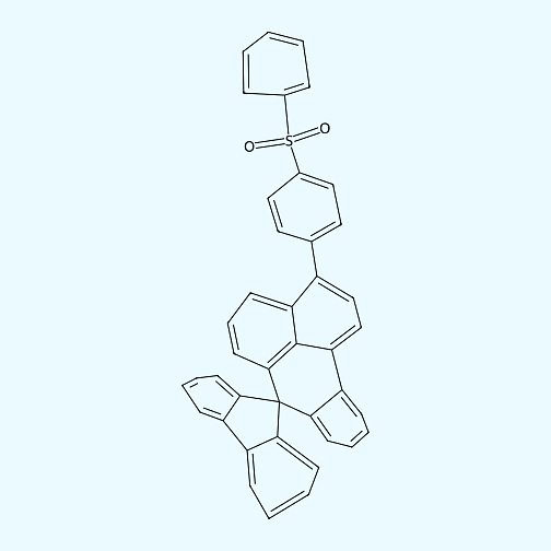 O=S(=O)(c1ccccc1)c1ccc(-c2ccc3c4c(cccc24)C2(c4ccccc4-c4ccccc42)c2ccccc2-3)cc1